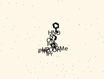 CO[C@@]1(O)O[C@@H](n2ccc(NC(=O)c3ccccc3)nc2=O)[C@@H](F)C1OPN(C(C)C)C(C)C